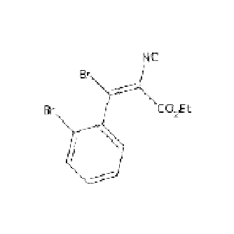 [C-]#[N+]/C(C(=O)OCC)=C(\Br)c1ccccc1Br